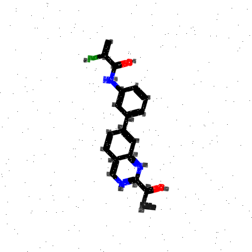 C=C(F)C(=O)Nc1cccc(-c2ccc3cnc(C(=O)NC)nc3c2)c1